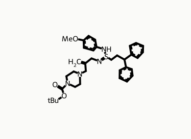 C=C(CN=S(CCC(c1ccccc1)c1ccccc1)Nc1ccc(OC)cc1)CN1CCN(C(=O)OC(C)(C)C)CC1